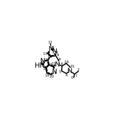 CC(C)N1CCC(N2Cc3nn(C)cc3-c3n[nH]c4ccnc2c34)CC1